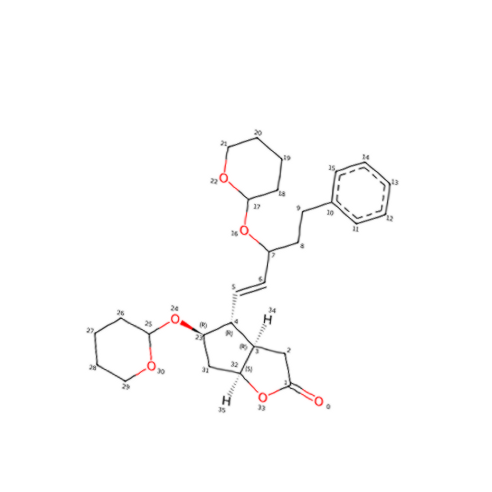 O=C1C[C@@H]2[C@@H](C=CC(CCc3ccccc3)OC3CCCCO3)[C@H](OC3CCCCO3)C[C@@H]2O1